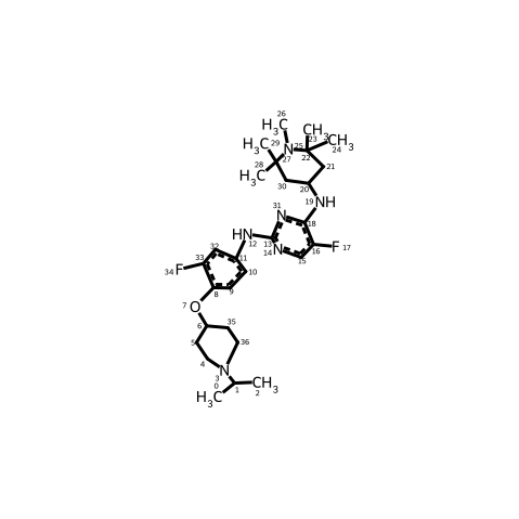 CC(C)N1CCC(Oc2ccc(Nc3ncc(F)c(NC4CC(C)(C)N(C)C(C)(C)C4)n3)cc2F)CC1